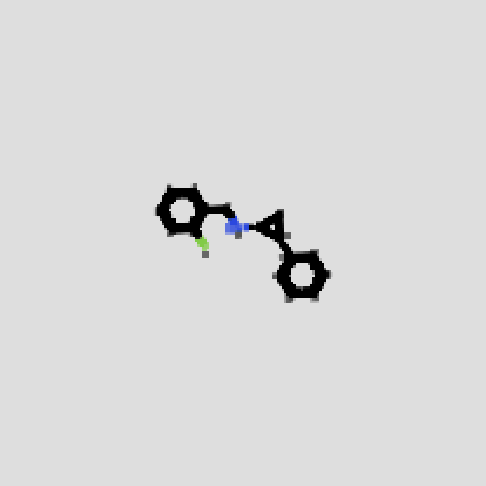 Fc1ccccc1CN[C@@H]1C[C@H]1c1ccccc1